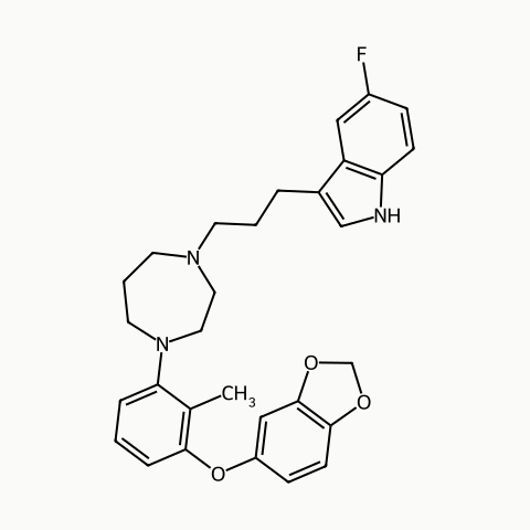 Cc1c(Oc2ccc3c(c2)OCO3)cccc1N1CCCN(CCCc2c[nH]c3ccc(F)cc23)CC1